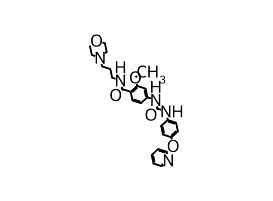 COc1cc(NC(=O)Nc2ccc(Oc3ccccn3)cc2)ccc1C(=O)NCCCN1CCOCC1